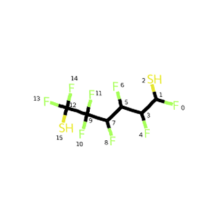 FC(S)C(F)C(F)C(F)C(F)(F)C(F)(F)S